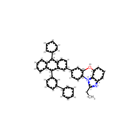 CCc1nc2cccc3c2n1-c1ccc(-c2ccc4c(-c5ccccc5)c5ccccc5c(-c5cccc(-c6ccccc6)c5)c4c2)cc1O3